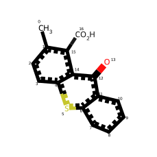 Cc1ccc2sc3ccccc3c(=O)c2c1C(=O)O